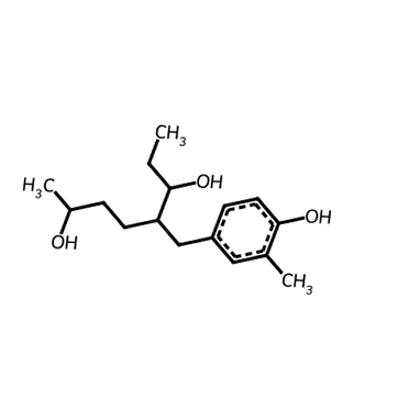 CCC(O)C(CCC(C)O)Cc1ccc(O)c(C)c1